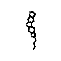 CCCCc1cc2c(s1)CC1Sc3cc4sccc4cc3C1=C2